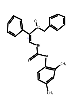 Cc1ccc(NC(=S)N/C=C(/c2ccccc2)[S+]([O-])Cc2ccccc2)c(C)c1